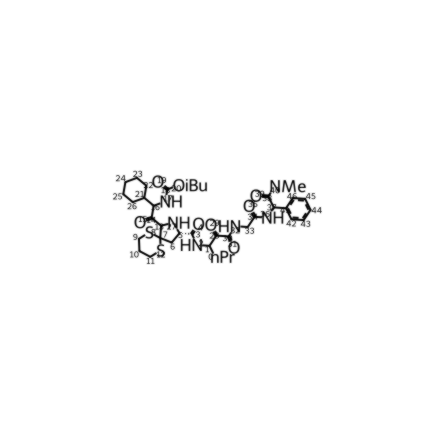 CCCC(NC(=O)[C@@H]1CC2(SCCCS2)C(C(=O)C(NC(=O)OCC(C)C)C2CCCCC2)N1)C(=O)C(=O)NCC(=O)NC(C(=O)NC)c1ccccc1